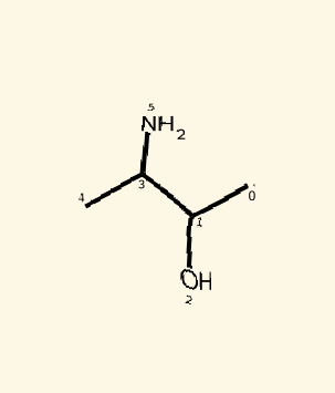 [CH2]C(O)C(C)N